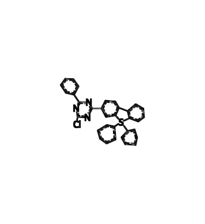 Clc1nc(-c2ccccc2)nc(-c2ccc3c(c2)S(c2ccccc2)(c2ccccc2)c2ccccc2-3)n1